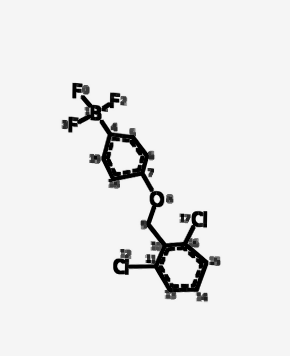 F[B-](F)(F)c1ccc(OCc2c(Cl)cccc2Cl)cc1